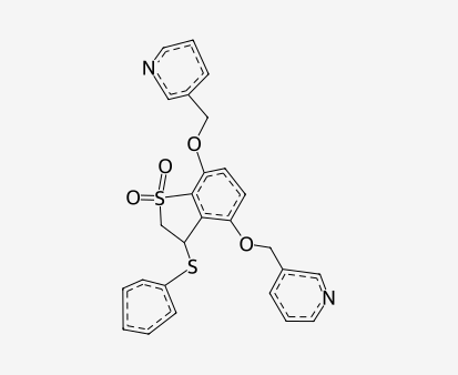 O=S1(=O)CC(Sc2ccccc2)c2c(OCc3cccnc3)ccc(OCc3cccnc3)c21